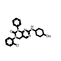 O=C1N(c2ccccc2Cl)Cc2cnc(NC3CCC(O)CC3)nc2N1c1ccccc1